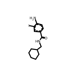 Nc1ccc(C(=O)NCC2CCCCC2)cc1I